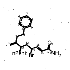 C=C(CCc1ccccc1)C(CCCCC)CC(Br)/C=C/C(N)=O